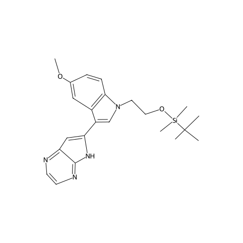 COc1ccc2c(c1)c(-c1cc3nccnc3[nH]1)cn2CCO[Si](C)(C)C(C)(C)C